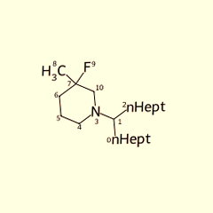 CCCCCCCC(CCCCCCC)N1CCCC(C)(F)C1